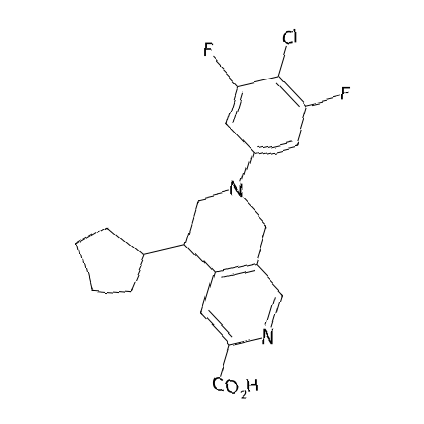 O=C(O)c1cc2c(cn1)CN(c1cc(F)c(Cl)c(F)c1)CC2C1CCCC1